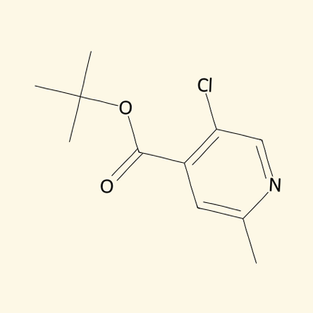 Cc1cc(C(=O)OC(C)(C)C)c(Cl)cn1